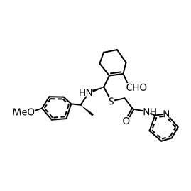 COc1ccc([C@H](C)N[C@H](SCC(=O)Nc2ccccn2)C2=C(C=O)CCCC2)cc1